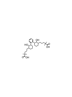 CC(C)(CCCC1CCCC(c2ccccc2C2CCCC(CCCC(C)(C)C(=O)O)C2O)C1O)C(=O)O